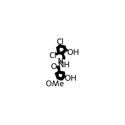 COc1ccc(C(=O)N/N=C/c2c(O)cc(Cl)cc2Cl)cc1O